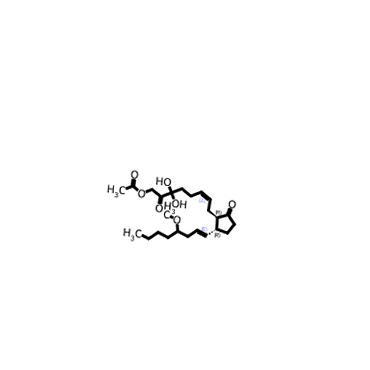 CCCCC(C/C=C/[C@H]1CCC(=O)[C@@H]1C/C=C\CCC(O)(O)C(=O)COC(C)=O)OC